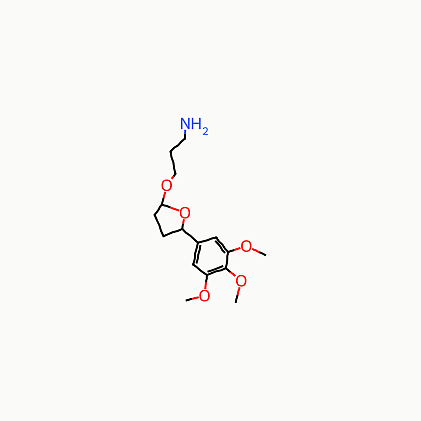 COc1cc(C2CCC(OCCCN)O2)cc(OC)c1OC